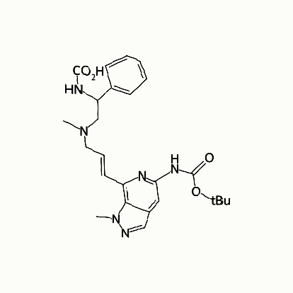 CN(CC=Cc1nc(NC(=O)OC(C)(C)C)cc2cnn(C)c12)CC(NC(=O)O)c1ccccc1